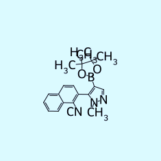 Cn1ncc(B2OC(C)(C)C(C)(C)O2)c1-c1ccc2ccccc2c1C#N